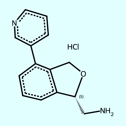 Cl.NC[C@H]1OCc2c(-c3cccnc3)cccc21